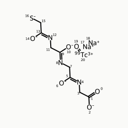 O=C([O-])CN=C([O-])CN=C([O-])CN=C([O-])C[S-].[Na+].[Na+].[O]=[99Tc+3]